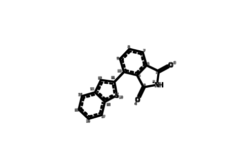 O=C1NC(=O)c2c1cccc2-c1cc2ccccc2s1